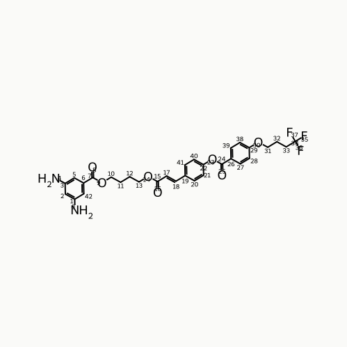 Nc1cc(N)cc(C(=O)OCCCCOC(=O)C=Cc2ccc(OC(=O)c3ccc(OCCCC(F)(F)F)cc3)cc2)c1